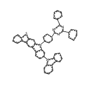 c1ccc(-c2nc(-c3ccccc3)nc(-c3ccc(-n4c5cc(-n6c7ccccc7c7ccccc76)ccc5c5cc6c(cc54)sc4ccccc46)cc3)n2)cc1